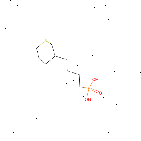 O=P(O)(O)CCCCC1CCCSC1